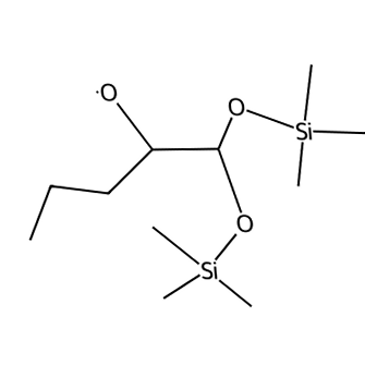 CCCC([O])C(O[Si](C)(C)C)O[Si](C)(C)C